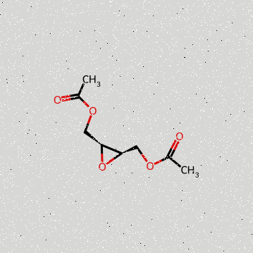 CC(=O)OC[C@@H]1O[C@@H]1COC(C)=O